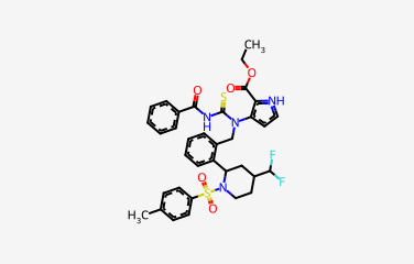 CCOC(=O)c1[nH]ccc1N(Cc1ccccc1C1CC(C(F)F)CCN1S(=O)(=O)c1ccc(C)cc1)C(=S)NC(=O)c1ccccc1